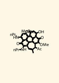 CCCNc1c2c3c4c(c(OC)c(=O)c5c(O)cc(OC)c(c6c(OC)cc(NCCC)c(c1=O)c63)c54)C(C(C)=O)C(C)=C2